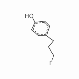 Oc1ccc(CCCF)cc1